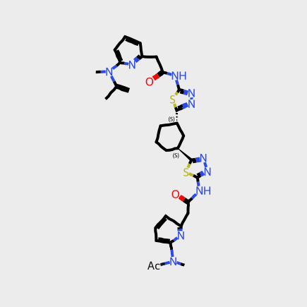 C=C(C)N(C)c1cccc(CC(=O)Nc2nnc([C@H]3CCC[C@H](c4nnc(NC(=O)Cc5cccc(N(C)C(C)=O)n5)s4)C3)s2)n1